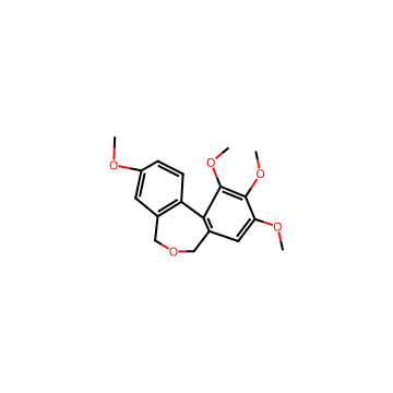 COc1ccc2c(c1)COCc1cc(OC)c(OC)c(OC)c1-2